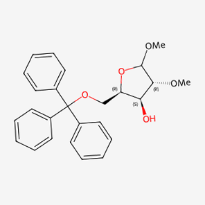 COC1O[C@H](COC(c2ccccc2)(c2ccccc2)c2ccccc2)[C@H](O)[C@H]1OC